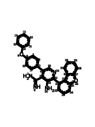 N=C(N)c1c(-c2ccc(Oc3ccccc3)cc2)cnc(-c2cccc3oc4ccccc4c23)c1N